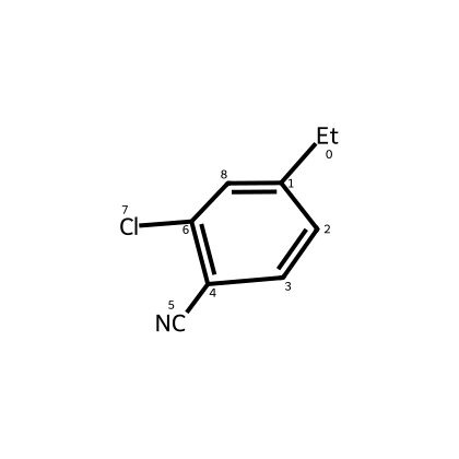 CCc1ccc(C#N)c(Cl)c1